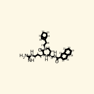 N=C(N)NCCC[C@@H]1N[C@H](CNC(=O)c2ccc3ccccc3c2)CCN(CCC2CC3CCC2C3)C1=O